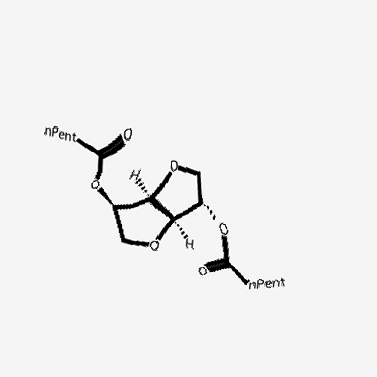 CCCCCC(=O)O[C@H]1CO[C@H]2[C@@H]1OC[C@H]2OC(=O)CCCCC